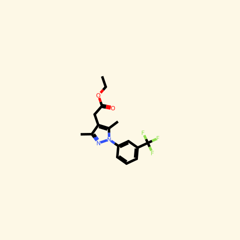 CCOC(=O)Cc1c(C)nn(-c2cccc(C(F)(F)F)c2)c1C